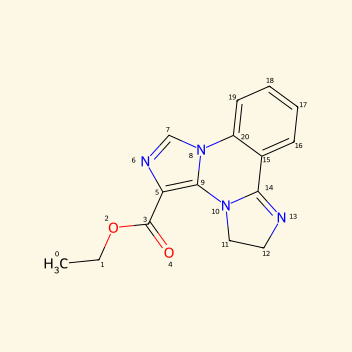 CCOC(=O)c1ncn2c1N1CCN=C1c1ccccc1-2